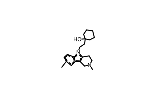 Cc1ccc2c(c1)c1c(n2CCC2(O)CCCCC2)CCN(C)C1